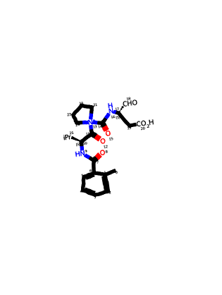 Cc1ccccc1C(=O)N[C@H](C(=O)[N+]1(C(=O)N[C@H](C=O)CC(=O)O)CCCC1)C(C)C